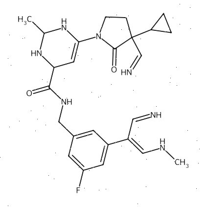 CN/C=C(\C=N)c1cc(F)cc(CNC(=O)C2C=C(N3CCC(C=N)(C4CC4)C3=O)NC(C)N2)c1